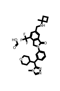 Cn1cnnc1C(c1cccc(N2Cc3c(cc(CNC4(C)CCC4)cc3C(F)(F)F)C2=O)c1)C1CCOCC1.O=CO